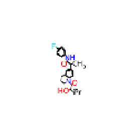 CC(C)[C@@H](O)C(=O)N1CCCc2cc([C@H](C)C(=O)Nc3ccc(F)cc3)ccc21